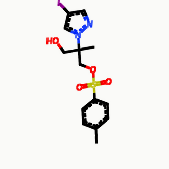 Cc1ccc(S(=O)(=O)OCC(C)(CO)n2cc(I)cn2)cc1